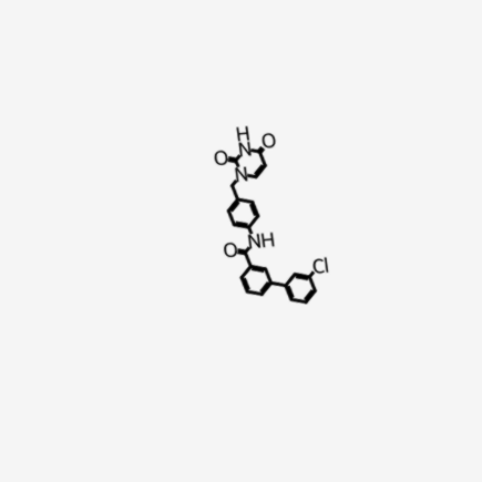 O=C(Nc1ccc(Cn2ccc(=O)[nH]c2=O)cc1)c1cccc(-c2cccc(Cl)c2)c1